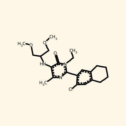 CCn1c(-c2cc3c(cc2Cl)CCCC3)nc(C)c(NC(COC)COC)c1=O